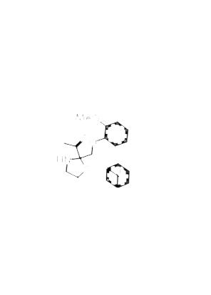 COc1ccccc1OCC1(C(C)=S)NCCS1.O=C1c2cccc1c2